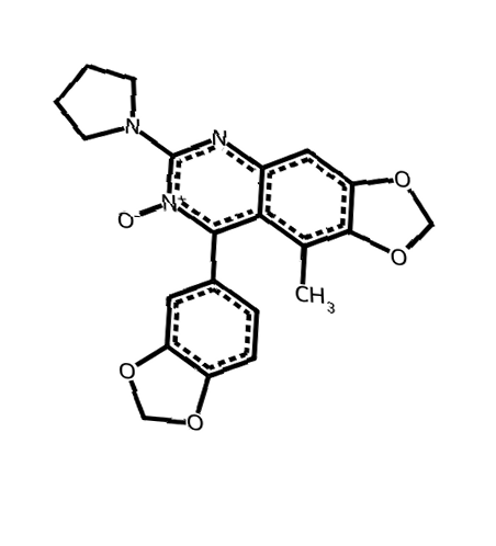 Cc1c2c(cc3nc(N4CCCC4)[n+]([O-])c(-c4ccc5c(c4)OCO5)c13)OCO2